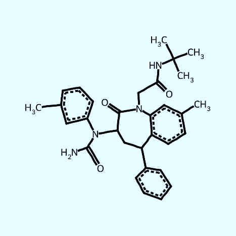 Cc1cccc(N(C(N)=O)C2CC(c3ccccc3)c3ccc(C)cc3N(CC(=O)NC(C)(C)C)C2=O)c1